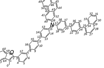 Cc1c(-c2cccc(-c3ccc(-c4ccc(N(c5ccc(-c6ccc(-c7cccc8ccccc78)cc6)cc5)c5ccc6c(ccc7ccccc76)c5)cc4)cc3)c2)oc2ccccc12